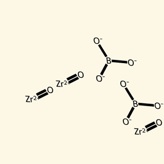 [O-]B([O-])[O-].[O-]B([O-])[O-].[O]=[Zr+2].[O]=[Zr+2].[O]=[Zr+2]